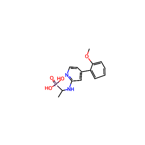 COc1ccccc1-c1ccnc(NC(C)P(=O)(O)O)c1